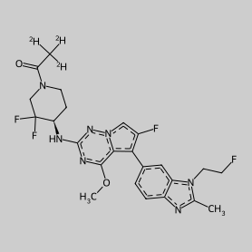 [2H]C([2H])([2H])C(=O)N1CC[C@@H](Nc2nc(OC)c3c(-c4ccc5nc(C)n(CCF)c5c4)c(F)cn3n2)C(F)(F)C1